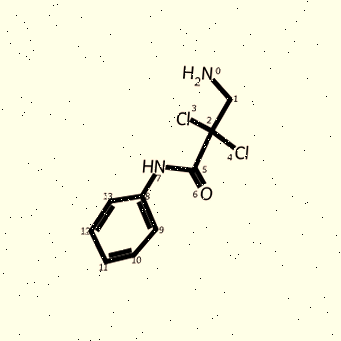 NCC(Cl)(Cl)C(=O)Nc1ccccc1